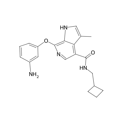 Cc1c[nH]c2c(Oc3cccc(N)c3)ncc(C(=O)NCC3CCC3)c12